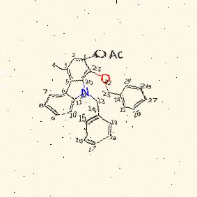 CC(=O)Oc1cc(C)c2c3ccccc3n(Cc3ccccc3)c2c1OCc1ccccc1